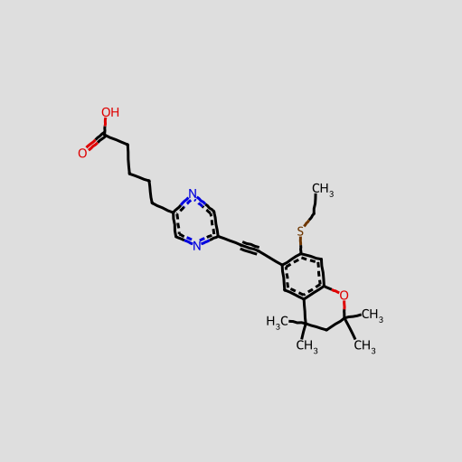 CCSc1cc2c(cc1C#Cc1cnc(CCCCC(=O)O)cn1)C(C)(C)CC(C)(C)O2